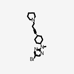 CN(c1ncc(Br)cn1)[C@H]1CC[C@H](C#CCCN2CCCCC2)CC1